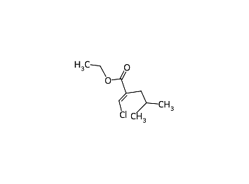 CCOC(=O)C(=CCl)CC(C)C